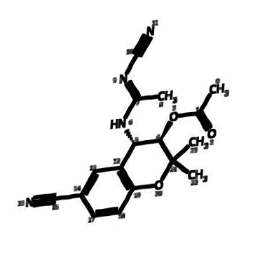 CC(=O)O[C@@H]1[C@@H](N/C(C)=N/C#N)c2cc(C#N)ccc2OC1(C)C